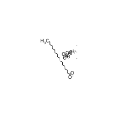 CCCCCCCCCCCCCCCCCC(=O)[O-].O=S(=O)([O-])[O-].[Al+].[P+2]